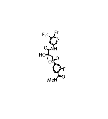 CCc1ncc(NC(=O)[C@@](C)(O)CS(=O)(=O)c2ccc(C(=O)NC)c(F)c2)cc1C(F)(F)F